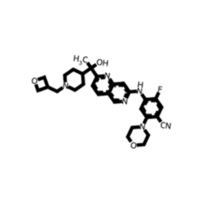 CC(O)(c1ccc2cnc(Nc3cc(N4CCOCC4)c(C#N)cc3F)cc2n1)C1CCN(CC2COC2)CC1